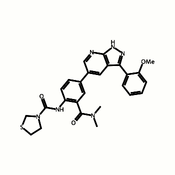 COc1ccccc1-c1n[nH]c2ncc(-c3ccc(NC(=O)N4CCSC4)c(C(=O)N(C)C)c3)cc12